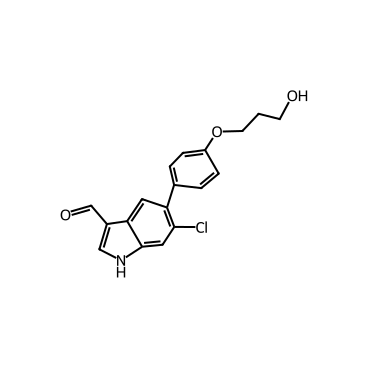 O=Cc1c[nH]c2cc(Cl)c(-c3ccc(OCCCO)cc3)cc12